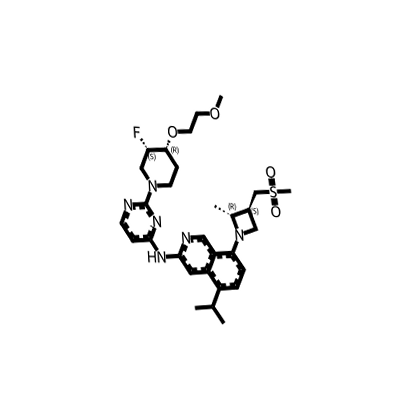 COCCO[C@@H]1CCN(c2nccc(Nc3cc4c(C(C)C)ccc(N5C[C@H](CS(C)(=O)=O)[C@H]5C)c4cn3)n2)C[C@@H]1F